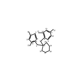 Cc1ccc(CC2(Cc3ccc(C)cc3C)CCCCC2)c(C)c1